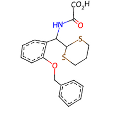 O=C(O)C(=O)NC(c1ccccc1OCc1ccccc1)C1SCCCS1